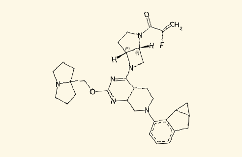 C=C(F)C(=O)N1CC[C@@H]2[C@H]1CN2C1=NC(OCC23CCCN2CCC3)=NC2CN(c3cccc4c3C3CC3C4)CCC12